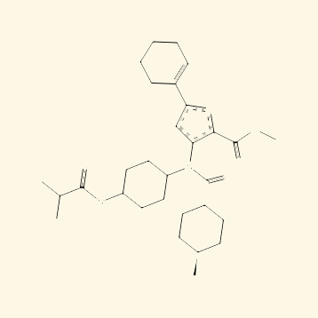 COC(=O)c1sc(C2=CCCCC2)cc1N(C(=O)[C@H]1CC[C@H](C)CC1)C1CCC(NC(=O)C(C)C)CC1